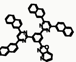 c1ccc2cc(-c3cc(-c4ccc5ccccc5c4)nc(-c4cc(-c5nc(-c6ccc7ccccc7c6)cc(-c6ccc7ccccc7c6)n5)cc(-c5nc6ncccc6o5)c4)n3)ccc2c1